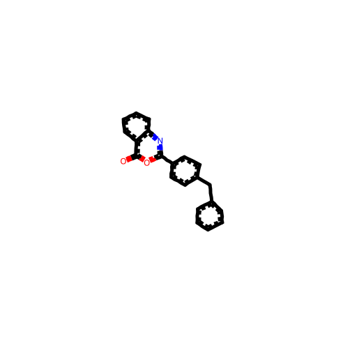 O=c1oc(-c2ccc(Cc3ccccc3)cc2)nc2ccccc12